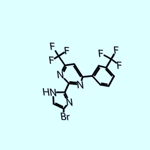 FC(F)(F)c1cccc(-c2cc(C(F)(F)F)nc(-c3nc(Br)c[nH]3)n2)c1